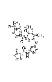 COc1cc(C)c(Sc2cnc(NC(=O)[C@@H]3CCCN3)s2)cc1C(=O)N1CCN(C(C)=O)CC1